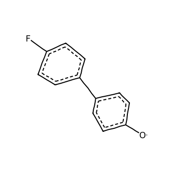 [O]c1ccc(-c2ccc(F)cc2)cc1